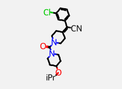 CC(C)OC1CCN(C(=O)N2CCC(=C(C#N)c3cccc(Cl)c3)CC2)CC1